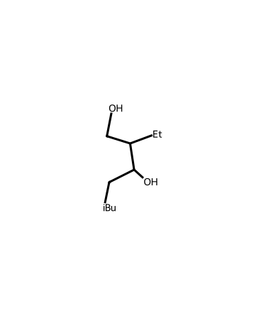 CCC(C)CC(O)C(CC)CO